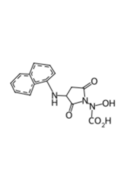 O=C(O)N(O)N1C(=O)CC(Nc2cccc3ccccc23)C1=O